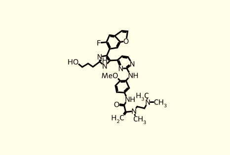 C=C(C(=O)Nc1ccc(OC)c(Nc2nccc(-c3[nH]c(CCCO)nc3-c3cc4occc4cc3F)n2)c1)N(C)CCN(C)C